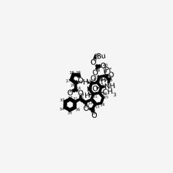 CC(C)[C@]12O[C@H]1N[C@]1(O)[C@]3(O[C@H]3C[C@H]3C4=C(CC[C@@]31C)C(=O)O/C4=C(/OC(=O)c1ccco1)c1ccccc1)[C@@H]2OC(=O)OC(C)(C)C